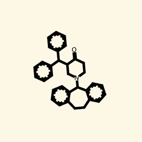 O=C1CCN(C2c3ccccc3CCc3ccccc32)CC1C(c1ccccc1)c1ccccc1